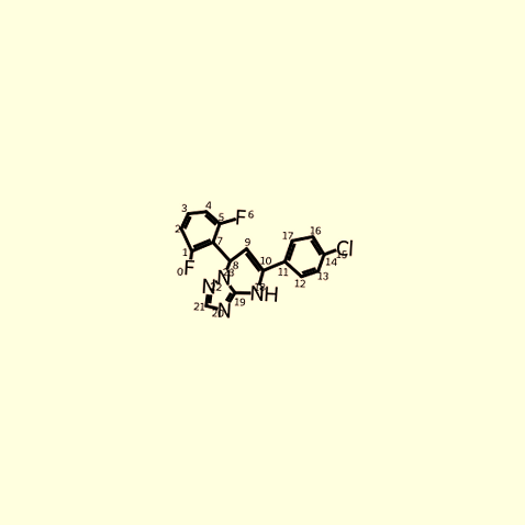 Fc1cccc(F)c1C1C=C(c2ccc(Cl)cc2)Nc2ncnn21